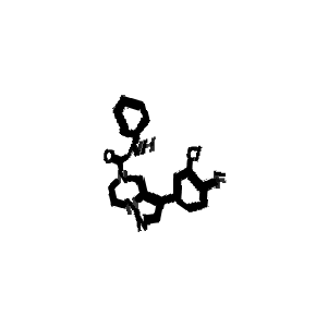 O=C(Nc1ccccc1)N1CCn2ncc(-c3ccc(F)c(Cl)c3)c2C1